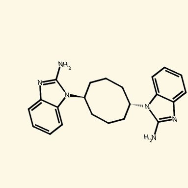 Nc1nc2ccccc2n1[C@H]1CCC[C@H](n2c(N)nc3ccccc32)CCC1